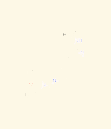 C[C@@H]1CN(c2cccc(C3CC(c4ccnc(CNC(=O)O)c4)C3)n2)C[C@H](C)O1